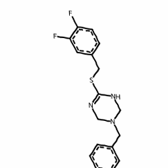 Fc1ccc(CSC2=NCN(Cc3cccnc3)CN2)cc1F